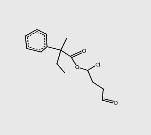 CCC(C)(C(=O)OC(Cl)CCC=O)c1ccccc1